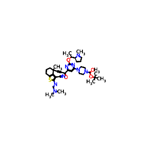 C[C@H](Oc1nc(C(=O)C#CC2(C)CCCc3sc(/N=C/N(C)C)c(C#N)c32)cc(N2CCN(C(=O)OC(C)(C)C)CC2)n1)[C@@H]1CCCN1C